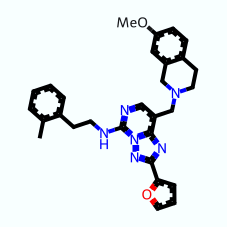 COc1ccc2c(c1)CN(Cc1cnc(NCCc3ccccc3C)n3nc(-c4ccco4)nc13)CC2